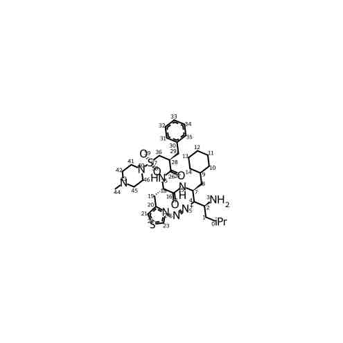 CC(C)C[C@H](N)C([N+]#N)[C@H](CC1CCCCC1)NC(=O)[C@H](Cc1cscn1)NC(=O)[C@H](Cc1ccccc1)CS(=O)(=O)N1CCN(C)CC1